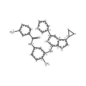 Cc1cccc(C(=O)Nc2ccc(C)c(Nc3nc(-c4cccnc4)cn4c(C5CC5)cnc34)c2)c1